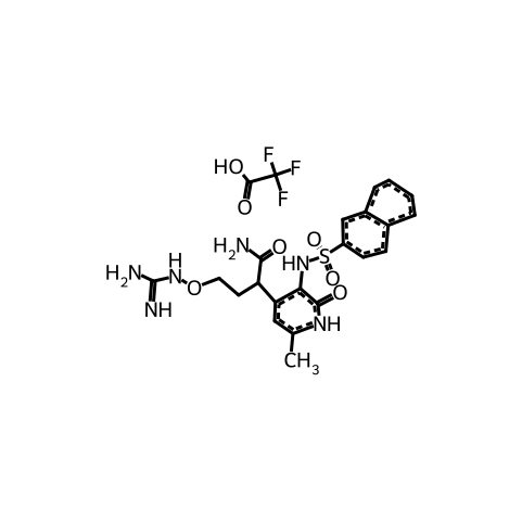 Cc1cc(C(CCONC(=N)N)C(N)=O)c(NS(=O)(=O)c2ccc3ccccc3c2)c(=O)[nH]1.O=C(O)C(F)(F)F